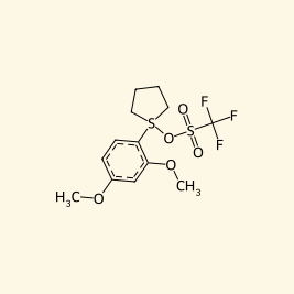 COc1ccc(S2(OS(=O)(=O)C(F)(F)F)CCCC2)c(OC)c1